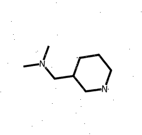 CN(C)CC1[CH]CC[N]C1